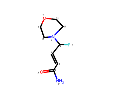 NC(=O)C=CC(F)N1CCOCC1